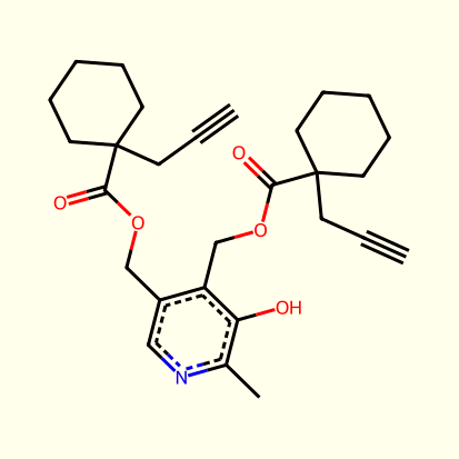 C#CCC1(C(=O)OCc2cnc(C)c(O)c2COC(=O)C2(CC#C)CCCCC2)CCCCC1